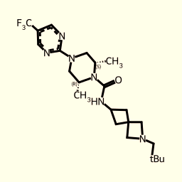 C[C@@H]1CN(c2ncc(C(F)(F)F)cn2)C[C@H](C)N1C(=O)NC1CC2(C1)CN(CC(C)(C)C)C2